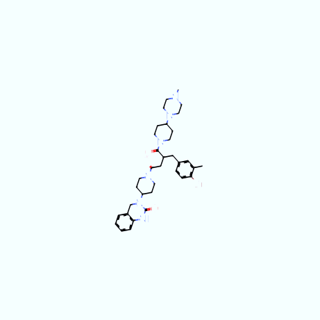 Cc1cc(CC(CC(=O)N2CCC(N3Cc4ccccc4NC3=O)CC2)C(=O)N2CCC(N3CCN(C)CC3)CC2)ccc1Br